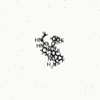 N#Cc1c(N)sc2c(F)ccc(-c3c(Cl)c4c5c(nc(OC[C@@]67CCCN6C[C@H](F)C7)nc5c3F)N3CC(NC(=O)[C@@H]5N[C@H]5C5CC5)CCC3CO4)c12